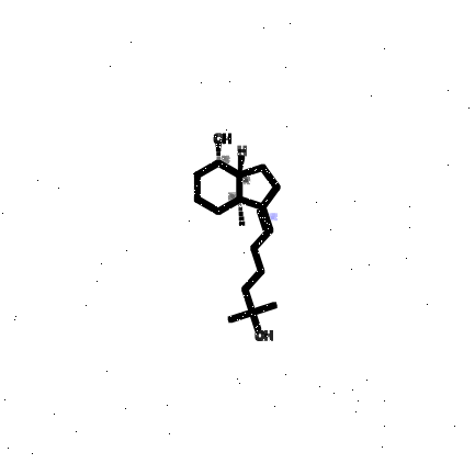 CC(C)(O)CCC/C=C1/CC[C@H]2[C@@H](O)CCC[C@]12C